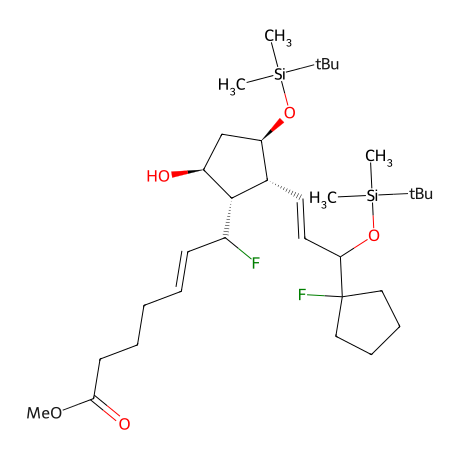 COC(=O)CCCC=CC(F)[C@H]1[C@@H](/C=C/C(O[Si](C)(C)C(C)(C)C)C2(F)CCCC2)[C@H](O[Si](C)(C)C(C)(C)C)C[C@@H]1O